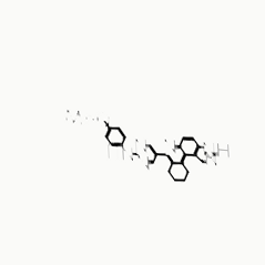 COc1ccc(Nc2ncc(-c3nc4ccc5[nH]ncc5c4c4c3CCCC4)cn2)cc1